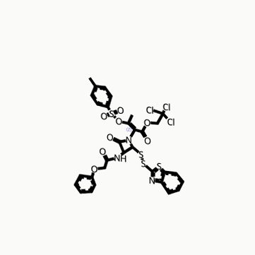 C/C(OS(=O)(=O)c1ccc(C)cc1)=C(\C(=O)OCC(Cl)(Cl)Cl)N1C(=O)C(NC(=O)COc2ccccc2)C1SSc1nc2ccccc2s1